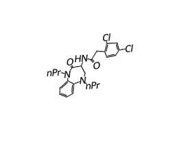 CCCN1CC(NC(=O)Cc2ccc(Cl)cc2Cl)C(=O)N(CCC)c2ccccc21